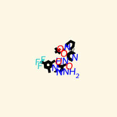 Cc1cc(C(F)(F)F)cc(C)c1-n1cnc(N)c(C(=O)Nc2cncc([C@H]3CCCCN3C(=O)OC(C)(C)C)c2)c1=O